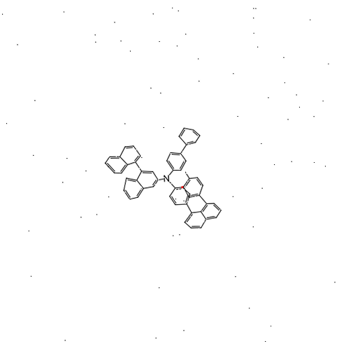 Cc1ccc(-c2cccc3cccc(-c4ccc(N(c5ccc(-c6ccccc6)cc5)c5cc(-c6cccc7ccccc67)c6ccccc6c5)cc4)c23)cc1